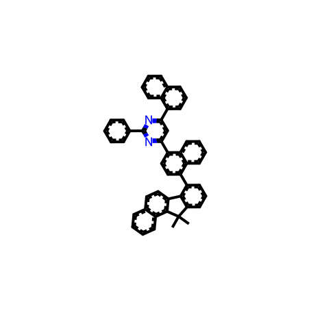 CC1(C)c2cccc(-c3ccc(-c4cc(-c5cccc6ccccc56)nc(-c5ccccc5)n4)c4ccccc34)c2-c2ccc3ccccc3c21